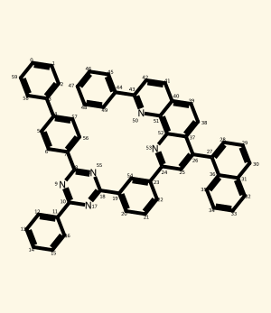 c1ccc(-c2ccc(-c3nc(-c4ccccc4)nc(-c4cccc(-c5cc(-c6cccc7ccccc67)c6ccc7ccc(-c8ccccc8)nc7c6n5)c4)n3)cc2)cc1